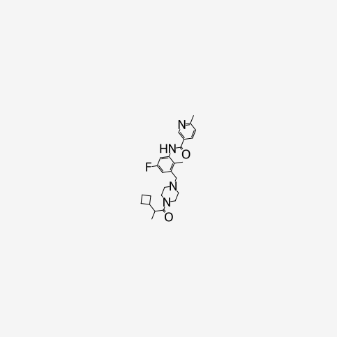 Cc1ccc(C(=O)Nc2cc(F)cc(CN3CCN(C(=O)C(C)C4CCC4)CC3)c2C)cn1